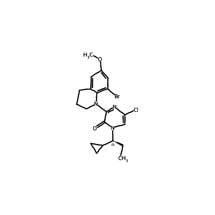 CC[C@@H](C1CC1)n1cc(Cl)nc(N2CCCc3cc(OC)cc(Br)c32)c1=O